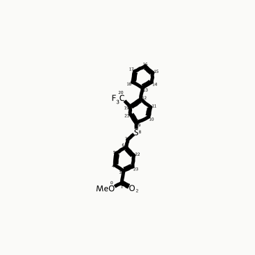 COC(=O)c1ccc(CSc2ccc(-c3ccccc3)c(C(F)(F)F)c2)cc1